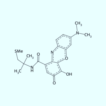 CSCC(C)(C)NC(=O)c1cc(=O)c(O)c2oc3cc(N(C)C)ccc3nc1-2